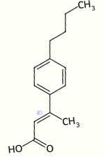 CCCCc1ccc(/C(C)=C/C(=O)O)cc1